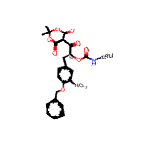 CC(C)(C)NC(=O)O[C@@H](Cc1ccc(OCc2ccccc2)c([N+](=O)[O-])c1)C(=O)C1C(=O)OC(C)(C)OC1=O